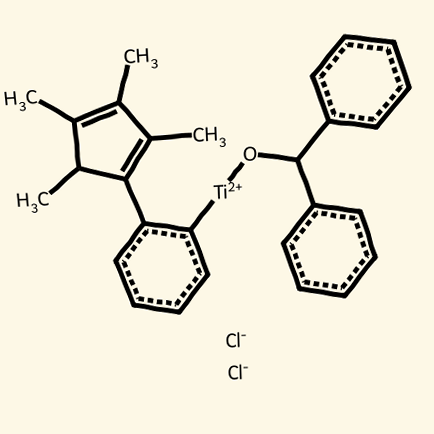 CC1=C(C)C(C)C(c2cccc[c]2[Ti+2][O]C(c2ccccc2)c2ccccc2)=C1C.[Cl-].[Cl-]